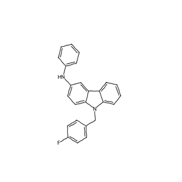 Fc1ccc(Cn2c3ccccc3c3cc(Nc4ccccc4)ccc32)cc1